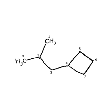 C[C](C)CC1CCC1